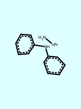 CCCN.c1ccc(Nc2ccccc2)cc1